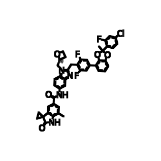 Cc1cc(C(=O)Nc2ccc3c(c2)nc(Cc2c(F)cc(-c4cccc5c4OC(C)(c4ccc(Cl)cc4F)O5)cc2F)n3C[C@@H]2CCO2)cc2c1NC(=O)C21CC1